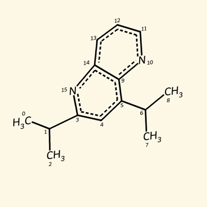 CC(C)c1cc(C(C)C)c2ncccc2n1